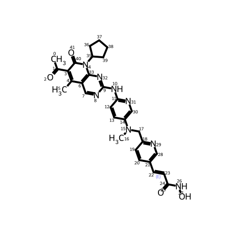 CC(=O)c1c(C)c2cnc(Nc3ccc(N(C)Cc4ccc(/C=C/C(=O)NO)cn4)cn3)nc2n(C2CCCC2)c1=O